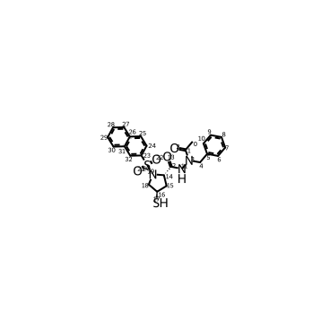 CC(=O)N(Cc1ccccc1)NC(=O)[C@@H]1C[C@@H](S)CN1S(=O)(=O)c1ccc2ccccc2c1